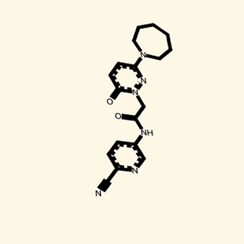 N#Cc1ccc(NC(=O)Cn2nc(N3CCCCCC3)ccc2=O)cn1